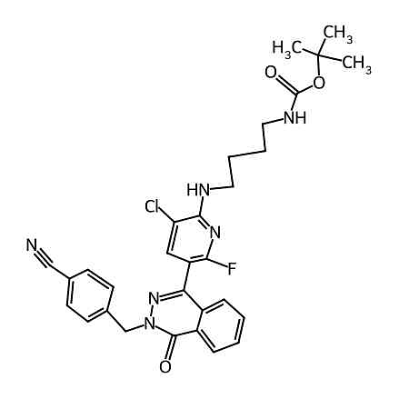 CC(C)(C)OC(=O)NCCCCNc1nc(F)c(-c2nn(Cc3ccc(C#N)cc3)c(=O)c3ccccc23)cc1Cl